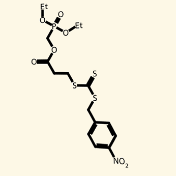 CCOP(=O)(COC(=O)CCSC(=S)SCc1ccc([N+](=O)[O-])cc1)OCC